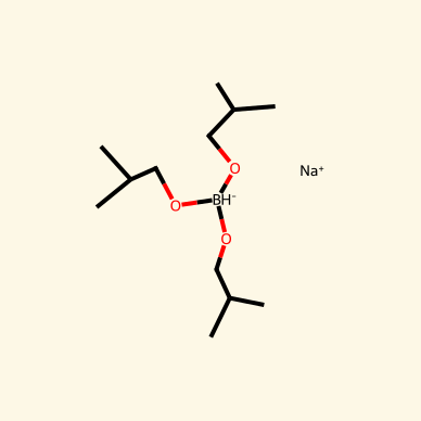 CC(C)CO[BH-](OCC(C)C)OCC(C)C.[Na+]